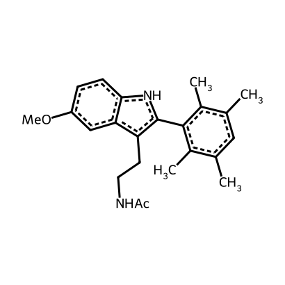 COc1ccc2[nH]c(-c3c(C)c(C)cc(C)c3C)c(CCNC(C)=O)c2c1